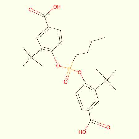 CCCCP(=O)(Oc1ccc(C(=O)O)cc1C(C)(C)C)Oc1ccc(C(=O)O)cc1C(C)(C)C